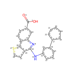 O=C(O)c1ccc2c(c1)nc(Nc1cccc(-c3ccccc3)c1)c1ccsc12